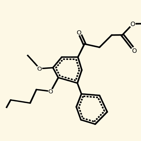 CCCCOc1c(OC)cc(C(=O)CCC(=O)OC)cc1-c1ccccc1